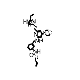 C=CCOC(=O)Nc1cccc(CNc2cc(N3CCOCC3)cc(CSc3n[nH]c(CC)n3)n2)c1